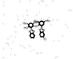 CC(C)(C)c1cc(-n2nc3ccccc3n2)c(O)c(C(C)(C)C)c1.CCCCc1cc(-n2nc3ccc(Cl)cc3n2)c(O)c(C(C)(C)C)c1